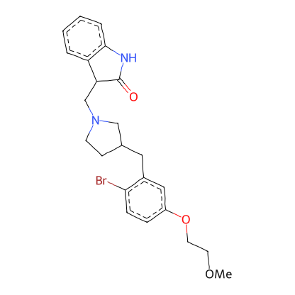 COCCOc1ccc(Br)c(CC2CCN(CC3C(=O)Nc4ccccc43)C2)c1